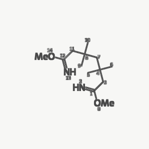 COC(=N)CC(C)(C)CC(C)(C)CC(=N)OC